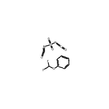 FC(F)Oc1ccccc1.O=C=NS(=O)(=O)N=C=O